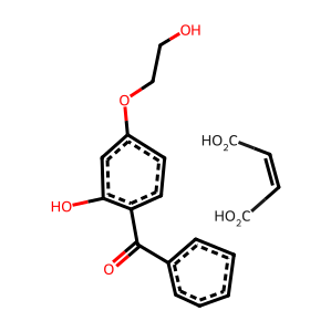 O=C(O)/C=C\C(=O)O.O=C(c1ccccc1)c1ccc(OCCO)cc1O